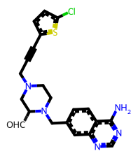 Nc1ncnc2cc(CN3CCN(CC#Cc4ccc(Cl)s4)CC3C=O)ccc12